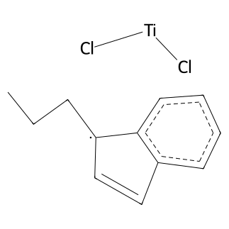 CCC[C]1C=Cc2ccccc21.[Cl][Ti][Cl]